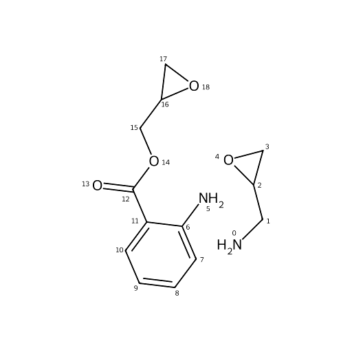 NCC1CO1.Nc1ccccc1C(=O)OCC1CO1